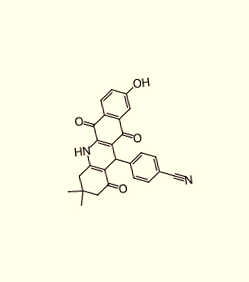 CC1(C)CC(=O)C2=C(C1)NC1=C(C(=O)c3cc(O)ccc3C1=O)C2c1ccc(C#N)cc1